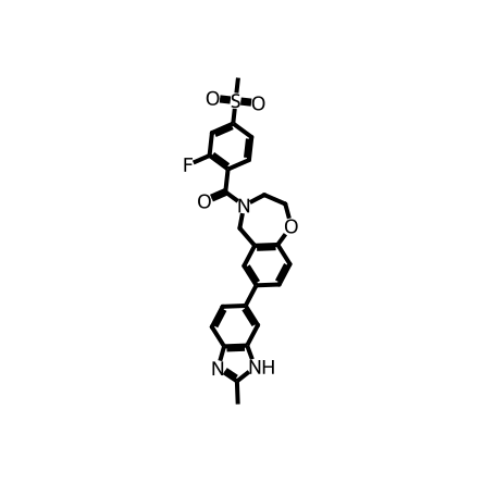 Cc1nc2ccc(-c3ccc4c(c3)CN(C(=O)c3ccc(S(C)(=O)=O)cc3F)CCO4)cc2[nH]1